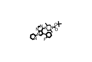 CC1CN(c2ncnc3c2c(-c2ccccc2F)cn3-c2ccccn2)C(C)CN1C(=O)OC(C)(C)C